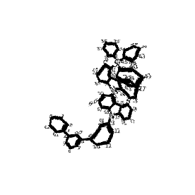 c1ccc(-c2cccc(-c3cccc(-n4c5ccccc5c5c(-n6c7ccccc7c7c([Si](c8ccccc8)(c8ccccc8)c8ccccc8)cccc76)cccc54)c3)c2)cc1